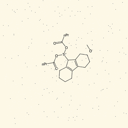 CCCC(=O)[O][Ti+]([O]C(=O)CCC)[CH]1C2=C(CCCC2)C2=C1CCCC2.C[O-]